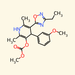 CCc1noc(C2=C(C)NC(C)=C(OC(=O)OC)C2c2cccc(OC)c2)n1